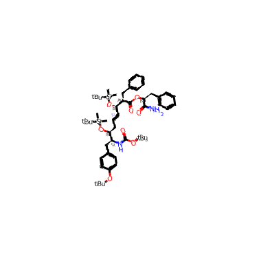 CC(C)(C)OC(=O)N[C@@H](Cc1ccc(OC(C)(C)C)cc1)[C@H](C/C=C/[C@H](O[Si](C)(C)C(C)(C)C)[C@@H](Cc1ccccc1)C(=O)O[C@@H](Cc1ccccc1)C(N)=O)O[Si](C)(C)C(C)(C)C